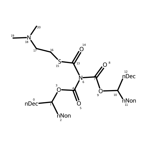 CCCCCCCCCCC(CCCCCCCCC)OC(=O)N(C(=O)OC(CCCCCCCCC)CCCCCCCCCC)C(=O)SCCN(C)C